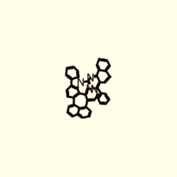 c1ccc(-c2nc(-n3c4ccccc4c4ccc5c(c43)-c3cnccc3-c3cccc4cccc-5c34)nc3c2ccc2ccccc23)cc1